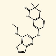 CCNc1nc(Nc2ccc3c(c2)NC(=O)C(C)(C)O3)nc2ccoc12